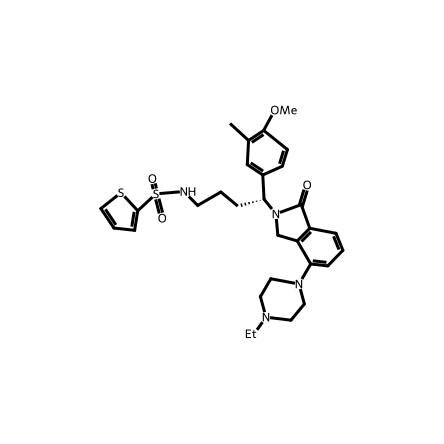 CCN1CCN(c2cccc3c2CN([C@H](CCCNS(=O)(=O)c2cccs2)c2ccc(OC)c(C)c2)C3=O)CC1